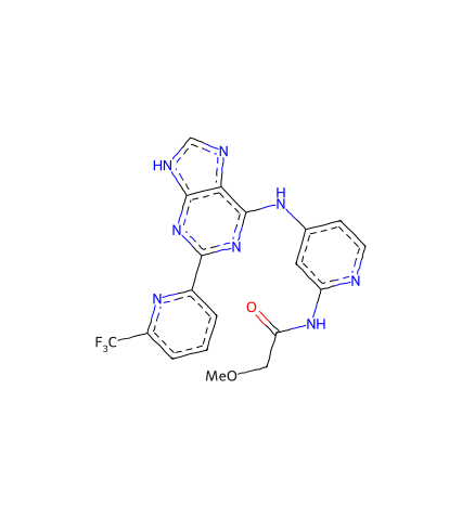 COCC(=O)Nc1cc(Nc2nc(-c3cccc(C(F)(F)F)n3)nc3[nH]cnc23)ccn1